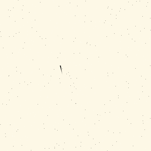 FCCCN1CC2C[C@]2(c2ccc(Br)cc2)C1